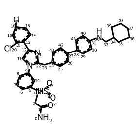 NC(=O)CN(c1cccc(-n2cc(-c3ccc(Cl)cc3Cl)nc2Cc2ccc(-c3ccc(NCC4CCCCC4)cc3)cc2)c1)[SH](=O)=O